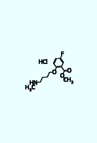 CNCCCCOc1ccc(F)cc1C(=O)OC.Cl